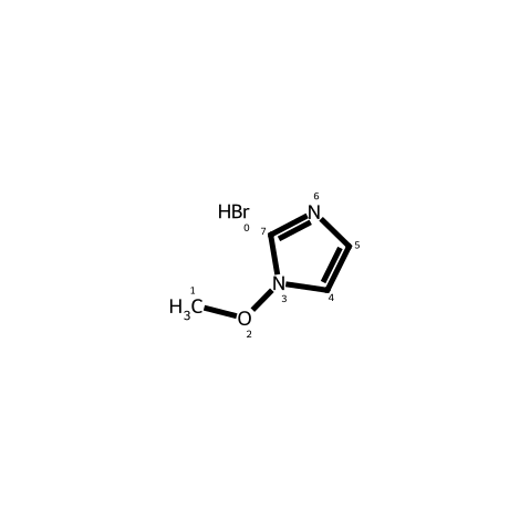 Br.COn1ccnc1